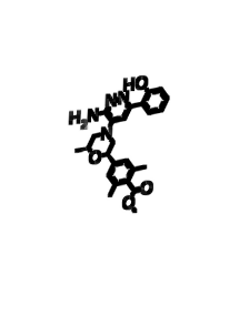 COC(=O)c1c(C)cc([C@@H]2CN(c3cc(-c4ccccc4O)nnc3N)C[C@H](C)O2)cc1C